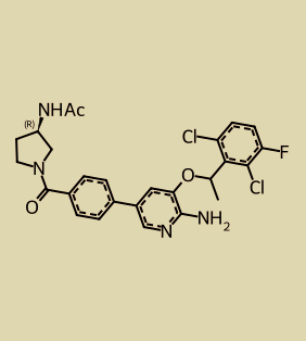 CC(=O)N[C@@H]1CCN(C(=O)c2ccc(-c3cnc(N)c(OC(C)c4c(Cl)ccc(F)c4Cl)c3)cc2)C1